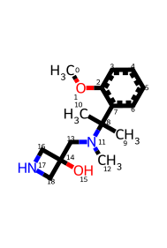 COc1ccccc1C(C)(C)N(C)CC1(O)CNC1